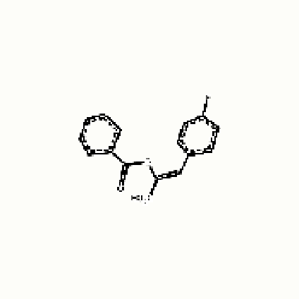 O=C(O)C(=Cc1ccc(F)cc1)OC(=O)c1ccccc1